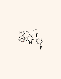 CCC[C@H]1CNc2ccccc2[C@]12SC(c1cc(F)ccc1F)=NN2C(C)=O